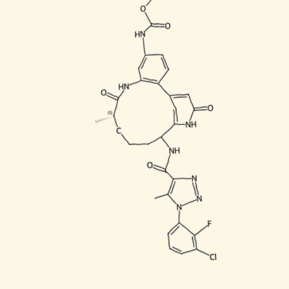 COC(=O)Nc1ccc2c(c1)NC(=O)[C@@H](C)CCCC(NC(=O)c1nnn(-c3cccc(Cl)c3F)c1C)c1cc-2cc(=O)[nH]1